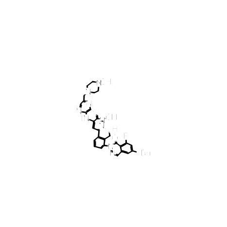 CN1CCN(Cc2cnc(Nc3cc(-c4cccc(-n5ncc6cc(C(C)(C)C)cc(F)c6c5=O)c4CO)nn(C)c3=O)cn2)CC1